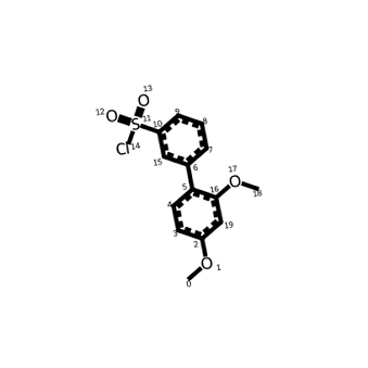 COc1ccc(-c2cccc(S(=O)(=O)Cl)c2)c(OC)c1